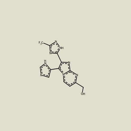 OCc1ccn2c(-c3cnc[nH]3)c(-c3nc(C(F)(F)F)n[nH]3)nc2n1